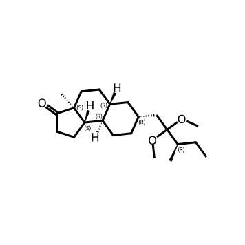 CC[C@@H](C)C(C[C@@H]1CC[C@@H]2[C@H](CC[C@]3(C)C(=O)CC[C@@H]23)C1)(OC)OC